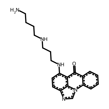 NCCCCNCCCNc1ccc2ncn3c4ccccc4c(=O)c1c23